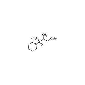 COCC(C)S(=O)(=O)N1CCCC[C@@H]1C